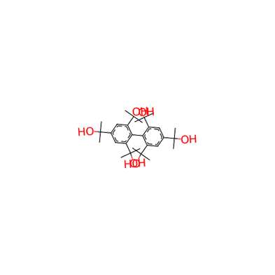 CC(C)(O)c1cc(C(C)(C)O)c(-c2c(C(C)(C)O)cc(C(C)(C)O)cc2C(C)(C)O)c(C(C)(C)O)c1